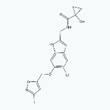 Cc1cc(COc2cc3[nH]c(CNC(=O)C4(O)CC4)cc3cc2Cl)on1